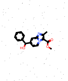 COC(=O)c1c(C)nc2cc(C(O)c3ccccc3)ccn12